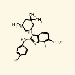 CC(C)c1ccc(Nc2nc3c(F)c(C(=O)O)ccc3n2[C@H]2C[C@@H](C)CC(C)(C)C2)cc1